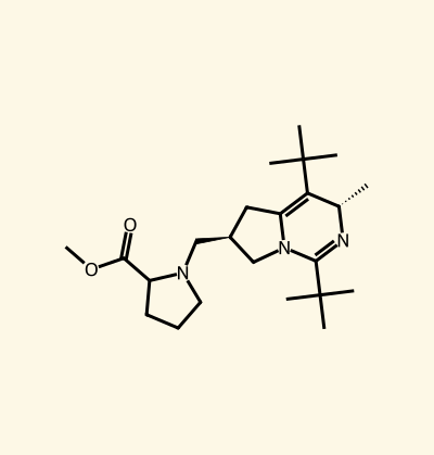 COC(=O)C1CCCN1C[C@H]1CC2=C(C(C)(C)C)[C@H](C)N=C(C(C)(C)C)N2C1